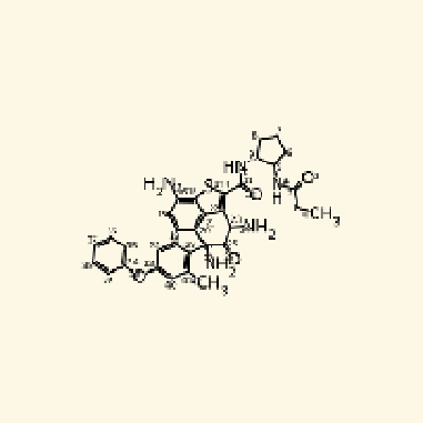 CCC(=O)N[C@@H]1CCC[C@H]1NC(=O)c1sc2c(N)ccc3c2c1C(N)C(=O)C3(N)c1ccc(Oc2ccccc2)cc1C